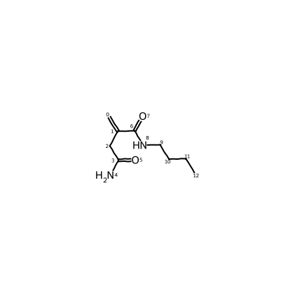 C=C(CC(N)=O)C(=O)NCCCC